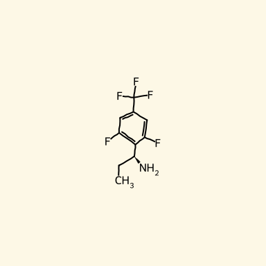 CC[C@H](N)c1c(F)cc(C(F)(F)F)cc1F